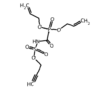 C#CCOS(=O)(=O)NC(=O)P(=O)(OCC=C)OCC=C